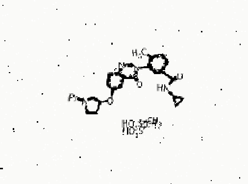 CS(=O)(=O)O.CS(=O)(=O)O.Cc1ccc(C(=O)NC2CC2)cc1-n1cnc2ccc(O[C@H]3CCN(C(C)C)C3)cc2c1=O